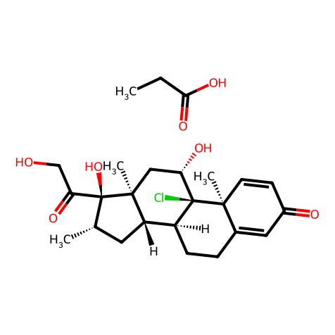 CCC(=O)O.C[C@H]1C[C@H]2[C@@H]3CCC4=CC(=O)C=C[C@]4(C)[C@@]3(Cl)[C@@H](O)C[C@]2(C)[C@@]1(O)C(=O)CO